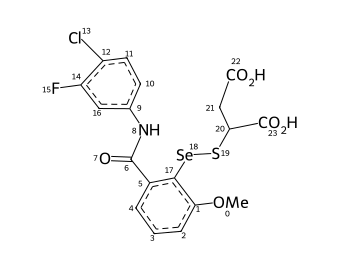 COc1cccc(C(=O)Nc2ccc(Cl)c(F)c2)c1[Se]SC(CC(=O)O)C(=O)O